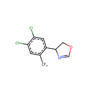 FC(F)(F)c1cc(Cl)c(Cl)cc1C1CO[C]=N1